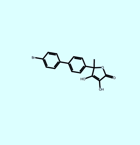 CC1(c2ccc(-c3ccc(Br)cc3)cc2)OC(=O)C(O)=C1O